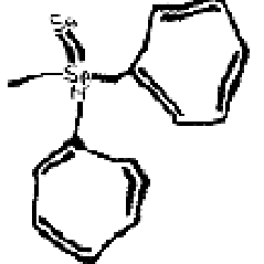 C[SeH](=[Se])(c1ccccc1)c1ccccc1